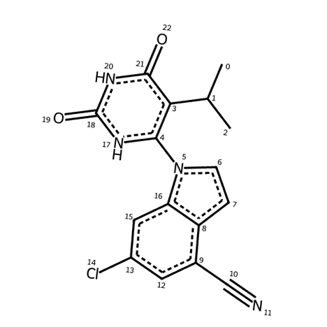 CC(C)c1c(-n2ccc3c(C#N)cc(Cl)cc32)[nH]c(=O)[nH]c1=O